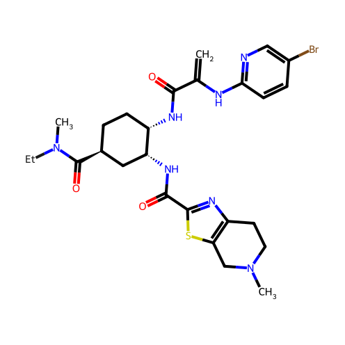 C=C(Nc1ccc(Br)cn1)C(=O)N[C@H]1CC[C@H](C(=O)N(C)CC)C[C@H]1NC(=O)c1nc2c(s1)CN(C)CC2